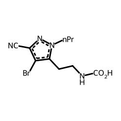 CCCn1nc(C#N)c(Br)c1CCNC(=O)O